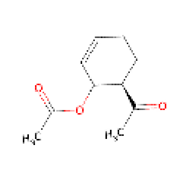 CC(=O)OC1C=CCC[C@H]1C(C)=O